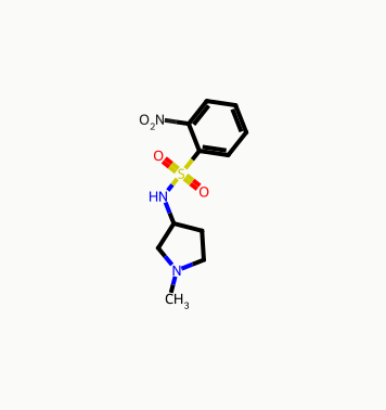 CN1CCC(NS(=O)(=O)c2ccccc2[N+](=O)[O-])C1